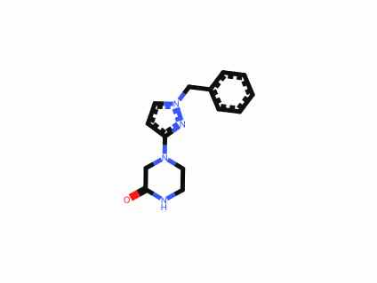 O=C1CN(c2ccn(Cc3ccccc3)n2)CCN1